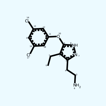 CCc1c(CCN)n[nH]c1Oc1cc(Cl)cc(Cl)c1